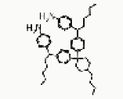 CCCCCC(c1ccc(N)cc1)c1ccc(C2(c3ccc(C(CCCCC)c4ccc(N)cc4)cc3)CCC(CCCC)CC2)cc1